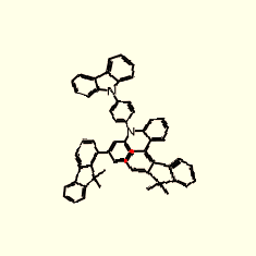 CC1(C)c2ccccc2-c2c(-c3ccccc3N(c3ccc(-n4c5ccccc5c5ccccc54)cc3)c3cccc(-c4cccc5c4C(C)(C)c4ccccc4-5)c3)cccc21